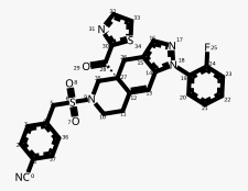 N#Cc1ccc(CS(=O)(=O)N2CCC3=Cc4c(cnn4-c4ccccc4F)C[C@]3(C(=O)c3nccs3)C2)cc1